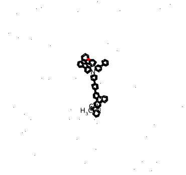 CC1(C)c2ccccc2-c2cc3c4ccccc4c4cc(-c5ccc(-c6ccc(N(c7ccc(-c8ccccc8)cc7)c7ccc8c(c7)C7(c9ccccc9-c9ccccc97)c7ccccc7-8)cc6)cc5)ccc4c3cc21